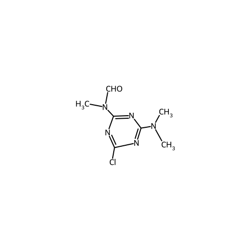 CN(C)c1nc(Cl)nc(N(C)C=O)n1